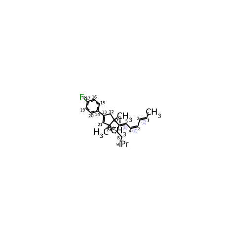 C/C=C/C=C\C=C(/CCC(C)C)C1(C)CC(c2ccc(F)cc2)=CC1(C)C